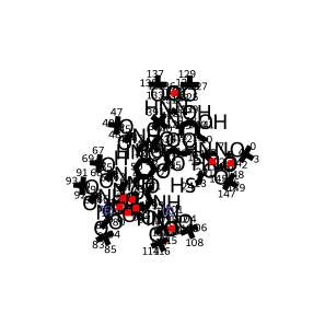 CC(C)(C)OC(=O)N=C(NCC1OC(OC2C(CSCCOCCS)OC(OC3C(O)C(NC(=NC(=O)OC(C)(C)C)NC(=O)OC(C)(C)C)CC(NC(=NC(=O)OC(C)(C)C)NC(=O)OC(C)(C)C)C3OC3OC(CN/C(=N\C(=O)OC(C)(C)C)NC(=O)OC(C)(C)C)C(O)C(O)C3N/C(=N/C(=O)OC(C)(C)C)NC(=O)OC(C)(C)C)C2O)C(NC(=NC(=O)OC(C)(C)C)NC(=O)OC(C)(C)C)C(O)C1O)NC(=O)OC(C)(C)C